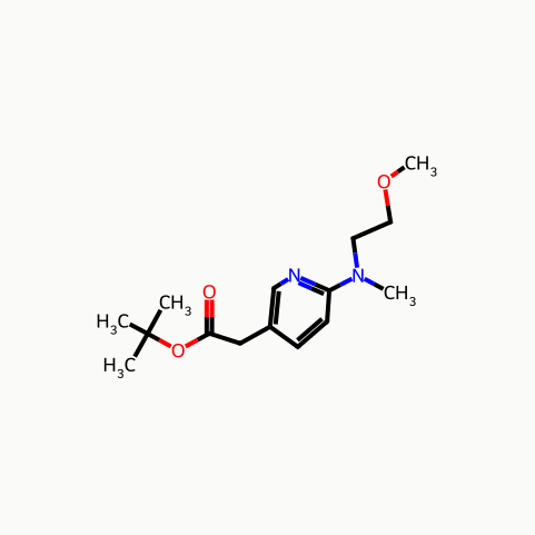 COCCN(C)c1ccc(CC(=O)OC(C)(C)C)cn1